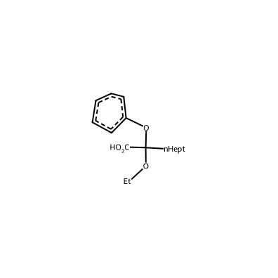 CCCCCCCC(OCC)(Oc1ccccc1)C(=O)O